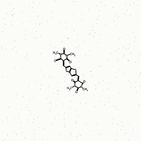 CN1C(=O)C(=Cc2cc3sc(C=C4C(=O)N(C)C(=O)N(C)C4=O)cc3s2)C(=O)N(C)C1=O